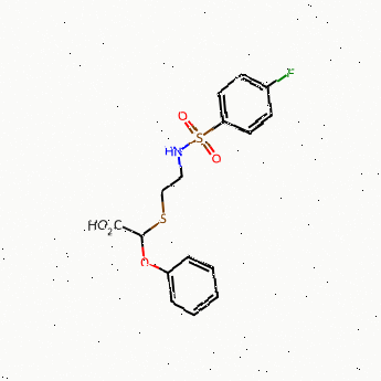 O=C(O)C(Oc1ccccc1)SCCNS(=O)(=O)c1ccc(F)cc1